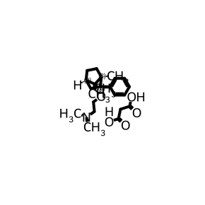 CN(C)CCO[C@]1(c2ccccc2)C[C@H]2CC[C@]1(C)C2(C)C.O=C(O)CC(=O)O